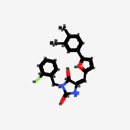 Cc1ccc(-c2ccc(C=C3NC(=O)N(Cc4ccccc4F)C3=O)o2)cc1[N+](=O)[O-]